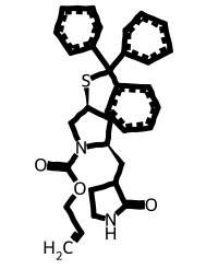 C=CCOC(=O)N1C[C@@H](SC(c2ccccc2)(c2ccccc2)c2ccccc2)C[C@H]1CC1CCNC1=O